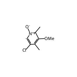 COc1c(C)c(Cl)[c][n+]([O-])c1C